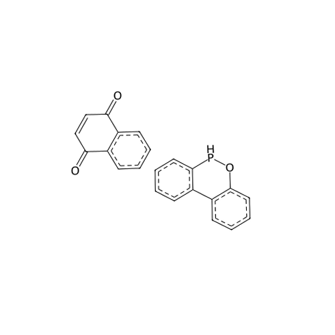 O=C1C=CC(=O)c2ccccc21.c1ccc2c(c1)OPc1ccccc1-2